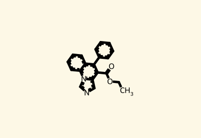 CCOC(=O)c1c(-c2ccccc2)c2ccccc2n2cncc12